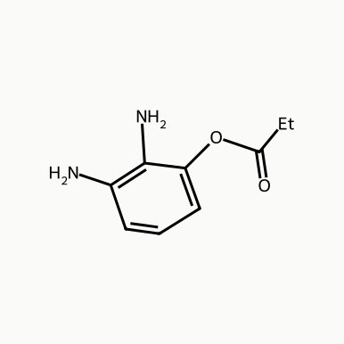 CCC(=O)Oc1cccc(N)c1N